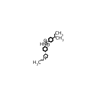 CCCN1CC[C@@H](c2ccc(NS(=O)(=O)c3ccc(C(C)CC)cc3)cc2)C1